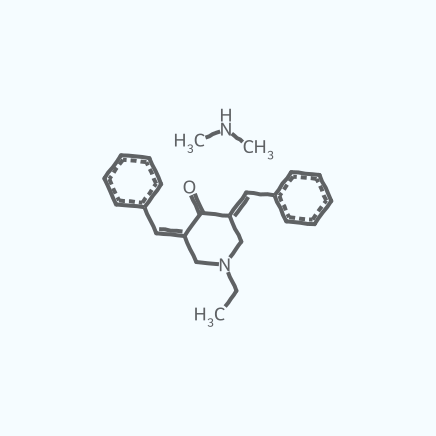 CCN1CC(=Cc2ccccc2)C(=O)C(=Cc2ccccc2)C1.CNC